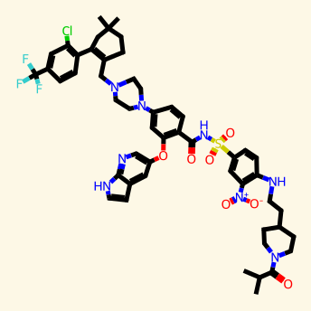 CC(C)C(=O)N1CCC(CCNc2ccc(S(=O)(=O)NC(=O)c3ccc(N4CCN(CC5=C(c6ccc(C(F)(F)F)cc6Cl)CC(C)(C)CC5)CC4)cc3Oc3cnc4[nH]ccc4c3)cc2[N+](=O)[O-])CC1